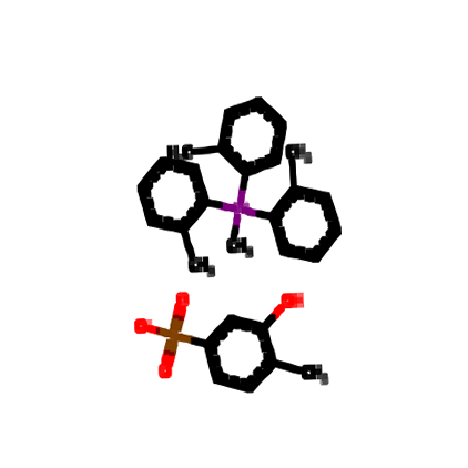 Cc1ccc(S(=O)(=O)[O-])cc1O.Cc1ccccc1[P+](C)(c1ccccc1C)c1ccccc1C